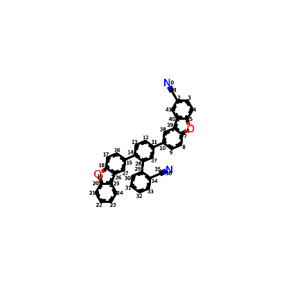 N#Cc1ccc2oc3ccc(-c4ccc(-c5ccc6oc7ccccc7c6c5)c(-c5ccccc5C#N)c4)cc3c2c1